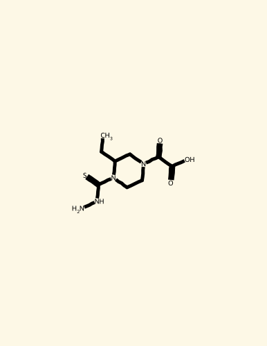 CCC1CN(C(=O)C(=O)O)CCN1C(=S)NN